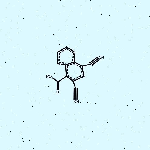 C#Cc1cc(C#C)c2ccccc2c1C(=O)O